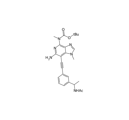 CC(=O)NC(C)c1cccc(C#Cc2c(N)nc(N(C)C(=O)OC(C)(C)C)c3ncn(C)c23)c1